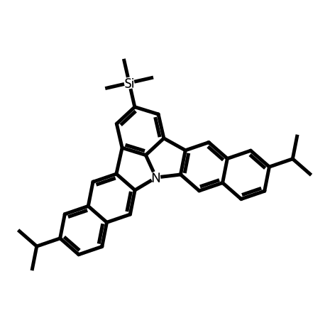 CC(C)c1ccc2cc3c(cc2c1)c1cc([Si](C)(C)C)cc2c4cc5cc(C(C)C)ccc5cc4n3c12